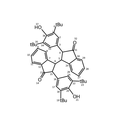 CC(C)(C)c1cc(C2[C](C3c4ccccc4C(=O)C3c3cc(C(C)(C)C)c(O)c(C(C)(C)C)c3)c3ccccc3C2=O)cc(C(C)(C)C)c1O